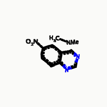 CNC.O=[N+]([O-])c1ccc2ncncc2c1